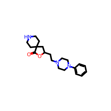 O=C1OC(CCN2CCN(c3ccccc3)CC2)CC12CCNCC2